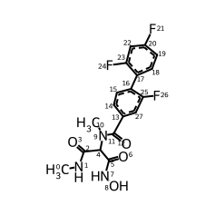 CNC(=O)C(C(=O)NO)N(C)C(=O)c1ccc(-c2ccc(F)cc2F)c(F)c1